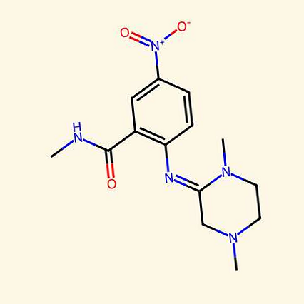 CNC(=O)c1cc([N+](=O)[O-])ccc1N=C1CN(C)CCN1C